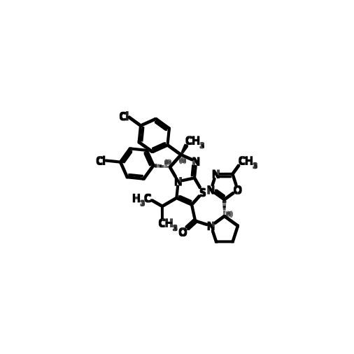 Cc1nnc([C@@H]2CCCN2C(=O)C2=C(C(C)C)N3C(=N[C@@](C)(c4ccc(Cl)cc4)[C@H]3c3ccc(Cl)cc3)S2)o1